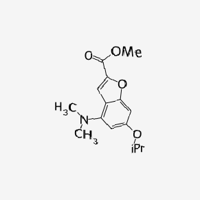 COC(=O)c1cc2c(N(C)C)cc(OC(C)C)cc2o1